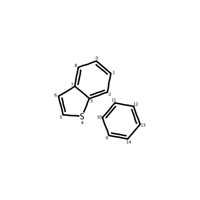 c1ccc2sccc2c1.c1ccccc1